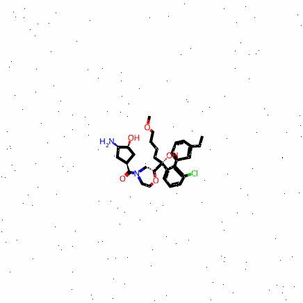 CCc1cccc(-c2c(Cl)cccc2[C@](O)(CCCCOC)[C@H]2CN(C(=O)[C@H]3C[C@@H](N)[C@@H](O)C3)CCO2)c1